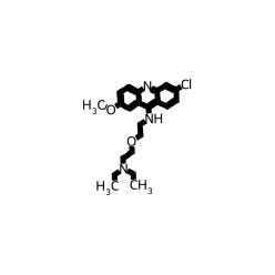 CCN(CC)CCOCCNc1c2ccc(Cl)cc2nc2ccc(OC)cc12